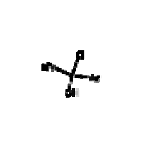 CCCC(O)(Cl)C(C)=O